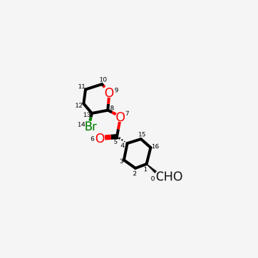 O=C[C@H]1CC[C@H](C(=O)OC2OCCCC2Br)CC1